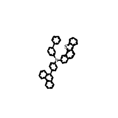 c1ccc(-c2cccc(N(c3ccc(-c4cc5ccccc5c5ccccc45)cc3)c3ccc4ccc5c6ccccc6sc5c4c3)c2)cc1